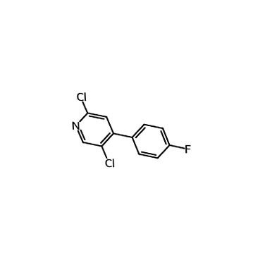 Fc1ccc(-c2cc(Cl)ncc2Cl)cc1